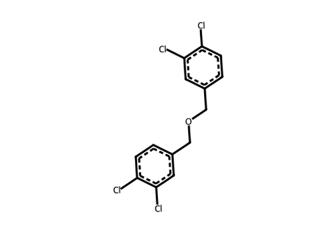 Clc1ccc(COCc2ccc(Cl)c(Cl)c2)cc1Cl